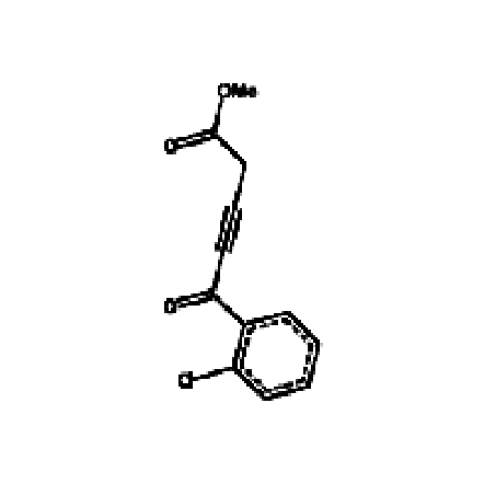 COC(=O)CC#CC(=O)c1ccccc1Cl